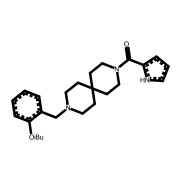 CC(C)COc1ccccc1CN1CCC2(CC1)CCN(C(=O)c1ccc[nH]1)CC2